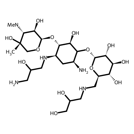 CN[C@@H]1[C@@H](O)[C@@H](O[C@H]2[C@H](NCC(O)CN)C[C@H](N)C(O[C@H]3O[C@H](CNCC(O)CO)[C@@H](O)[C@H](O)[C@H]3O)[C@@H]2O)OC[C@]1(C)O